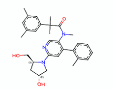 Cc1cc(C)cc(C(C)(C)C(=O)N(C)c2cnc(N3C[C@H](O)C[C@H]3CO)cc2-c2ccccc2C)c1